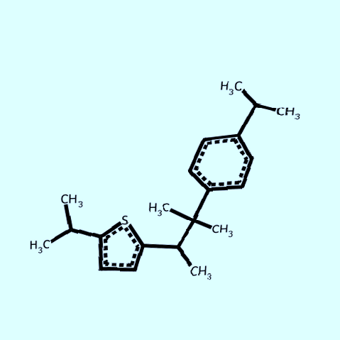 CC(C)c1ccc(C(C)(C)C(C)c2ccc(C(C)C)s2)cc1